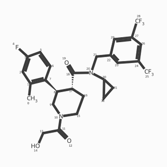 Cc1cc(F)ccc1[C@@H]1CN(C(=O)CO)CC[C@H]1C(=O)N(Cc1cc(C(F)(F)F)cc(C(F)(F)F)c1)C1CC1